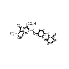 C[C@@H](O)[C@H]1C(=O)N2C(C(=O)O)=C(COc3ccc(Cn4c(=O)cc[nH]c4=O)cc3)S[C@H]12